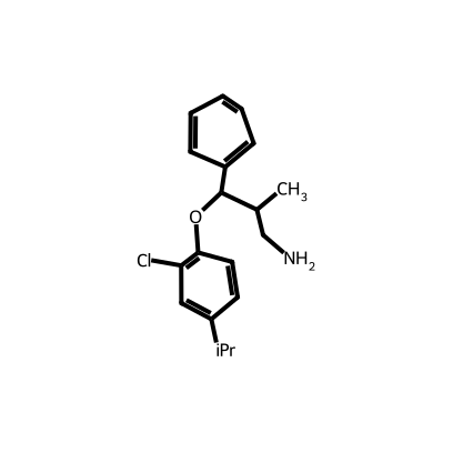 CC(C)c1ccc(OC(c2ccccc2)C(C)CN)c(Cl)c1